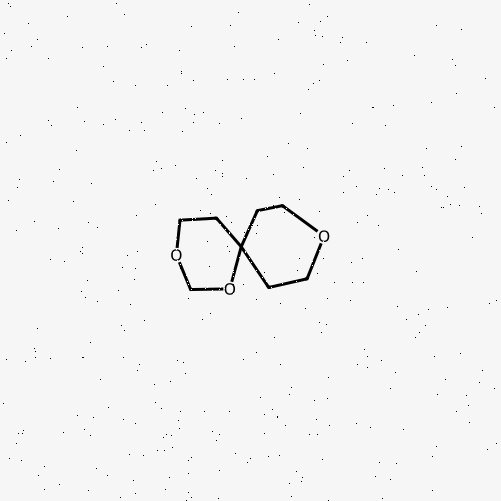 C1CC2(CCO1)CCOCO2